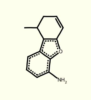 CC1CC=Cc2oc3c(N)cccc3c21